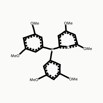 COc1cc(OC)cc(P(c2cc(OC)cc(OC)c2)c2cc(OC)cc(OC)c2)c1